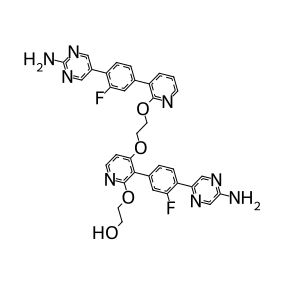 Nc1cnc(-c2ccc(-c3c(OCCOc4ncccc4-c4ccc(-c5cnc(N)nc5)c(F)c4)ccnc3OCCO)cc2F)cn1